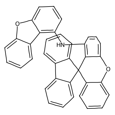 c1ccc2c(c1)Oc1cccc(Nc3cccc4oc5ccccc5c34)c1C21c2ccccc2-c2ccccc21